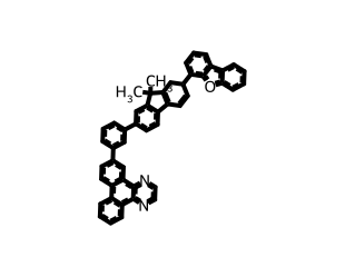 CC1(C)C2=C(C=CC(c3cccc4c3oc3ccccc34)C2)c2ccc(-c3cccc(-c4ccc5c6ccccc6c6nccnc6c5c4)c3)cc21